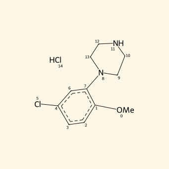 COc1ccc(Cl)cc1N1CCNCC1.Cl